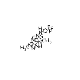 [C-]#[N+]c1cn(C)c2ncnc(C(=O)NC(C)c3cnc(Nc4ccc(C(F)(F)F)cc4)s3)c12